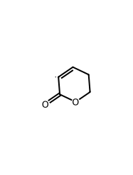 O=C1[C]=CCCO1